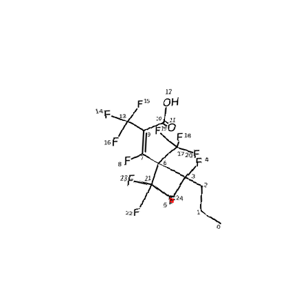 CCCC(F)(F)C(C(F)=C(C(=O)O)C(F)(F)F)(C(F)(F)F)C(F)(F)F